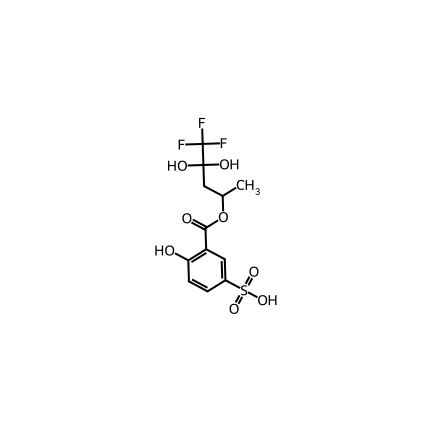 CC(CC(O)(O)C(F)(F)F)OC(=O)c1cc(S(=O)(=O)O)ccc1O